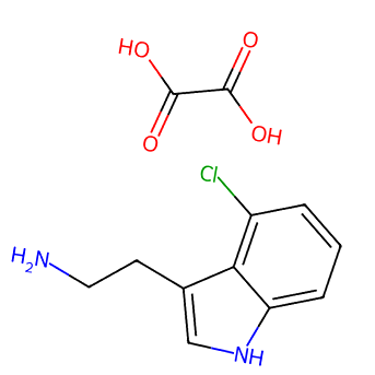 NCCc1c[nH]c2cccc(Cl)c12.O=C(O)C(=O)O